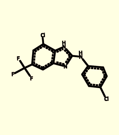 FC(F)(F)c1cc(Cl)c2[nH]c(Nc3ccc(Cl)cc3)nc2c1